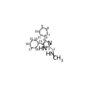 CNCc1nc(-c2ccccc2)c(-c2ccccc2)[nH]1